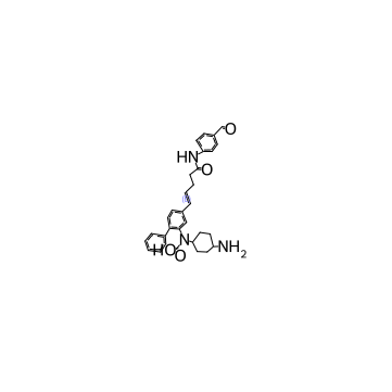 NC1CCC(N(C(=O)O)c2cc(/C=C/CCC(=O)Nc3ccc(C=O)cc3)ccc2-c2ccccc2)CC1